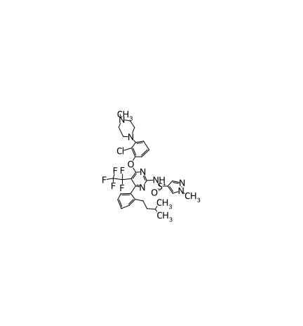 CC(C)CCc1ccccc1-c1nc(N[S+]([O-])c2cnn(C)c2)nc(Oc2cccc(N3CCN(C)CC3)c2Cl)c1C(F)(F)C(F)(F)F